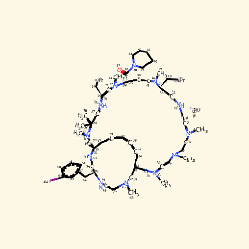 CC[C@H](C)[C@H]1CN(C)CCN(C)CCN(C)[C@H]2CCCCCC[C@@H](CN(C)C(C)(C)CN[C@@H](CC(C)C)CN(C)[C@H](C(=O)N3CCCCC3)CCN(C)[C@@H](CC(C)C)CN1)NC[C@H](Cc1cccc(I)c1)NCCN(C)C2